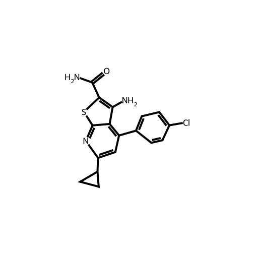 NC(=O)c1sc2nc(C3CC3)cc(-c3ccc(Cl)cc3)c2c1N